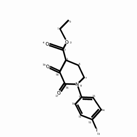 CCOC(=O)C1CCN(c2ccc(I)cc2)C(=O)C1=O